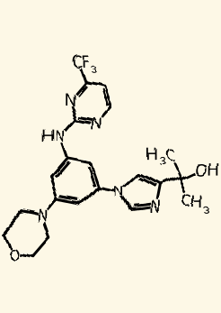 CC(C)(O)c1cn(-c2cc(Nc3nccc(C(F)(F)F)n3)cc(N3CCOCC3)c2)cn1